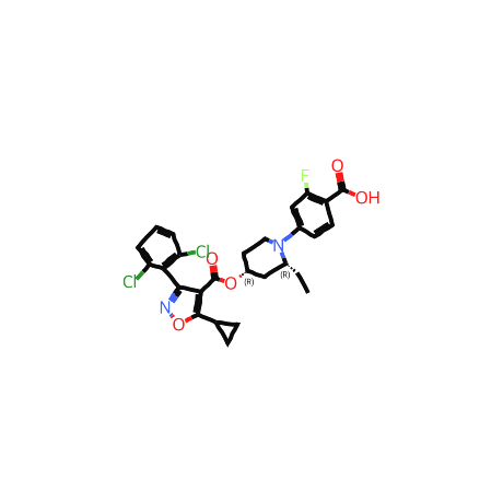 CC[C@@H]1C[C@H](OC(=O)c2c(-c3c(Cl)cccc3Cl)noc2C2CC2)CCN1c1ccc(C(=O)O)c(F)c1